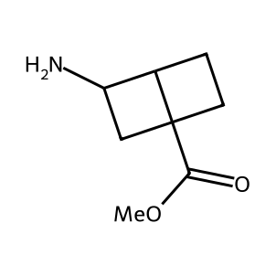 COC(=O)C12CCC1C(N)C2